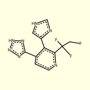 FCC(F)(F)c1nccc(-c2nn[nH]n2)c1-c1c[nH]cn1